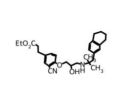 CCOC(=O)CCc1ccc(OCC(O)CNC(C)(C)Cc2ccc3c(c2)CCCC3)c(C#N)c1